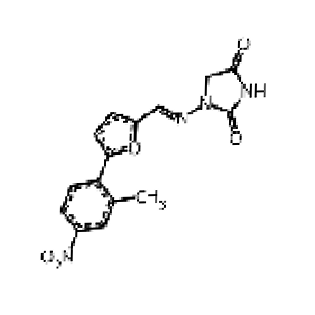 Cc1cc([N+](=O)[O-])ccc1-c1ccc(C=NN2CC(=O)NC2=O)o1